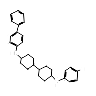 Cc1ccc(NC2CCC(C3CCC(Nc4ccc(-c5ccccc5)cc4)CC3)CC2)cc1